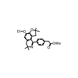 CCOc1cc2c(c3c1OC(C)(C)C3)C(c1ccc(CC(=O)OC)cc1)=NC(C)(C)C2